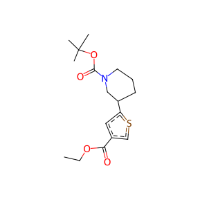 CCOC(=O)c1csc(C2CCCN(C(=O)OC(C)(C)C)C2)c1